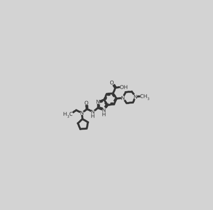 CCN(C(=O)Nc1nc2cc(C(=O)O)c(N3CCN(C)CC3)cc2[nH]1)C1CCCC1